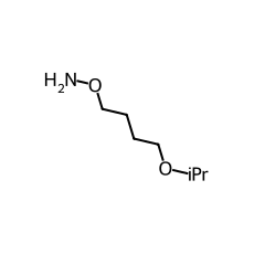 CC(C)OCCCCON